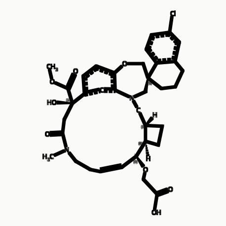 COC(=O)[C@@]1(O)CC(=O)N(C)CCC=C[C@H](OCC(=O)O)[C@@H]2CC[C@H]2CN2C[C@@]3(CCCc4cc(Cl)ccc43)COc3ccc1cc32